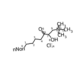 CCCCCCCCCCCCCC(=O)C(O)C[N+](C)(C)C.[Cl-]